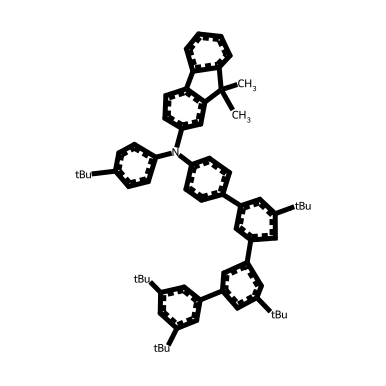 CC(C)(C)c1ccc(N(c2ccc(-c3cc(-c4cc(-c5cc(C(C)(C)C)cc(C(C)(C)C)c5)cc(C(C)(C)C)c4)cc(C(C)(C)C)c3)cc2)c2ccc3c(c2)C(C)(C)c2ccccc2-3)cc1